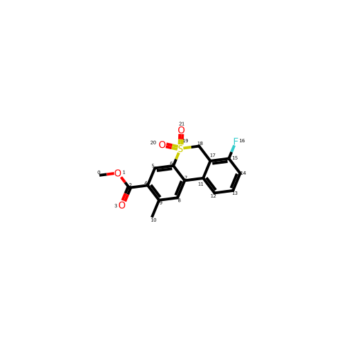 COC(=O)c1cc2c(cc1C)-c1cccc(F)c1CS2(=O)=O